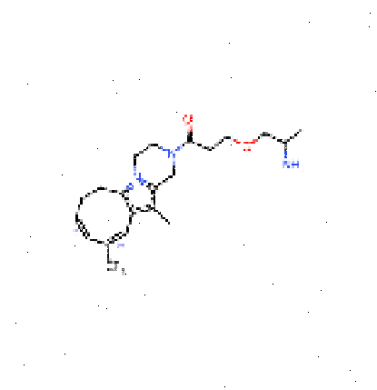 Cc1c2c(n3c1CN(C(=O)CCOCC(C)N)CC3)CC/C=C\C(C(F)(F)F)=C/2